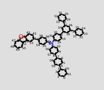 c1ccc(-c2ccc(-c3ccc(N(c4ccc(-c5cc(-c6ccccc6)cc(-c6ccccc6)c5)cc4)c4ccc(-c5ccc6oc7ccccc7c6c5)cc4)cc3)cc2)cc1